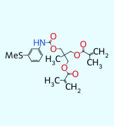 C=C(C)C(=O)OCC(C)(COC(=O)Nc1cccc(SC)c1)COC(=O)C(=C)C